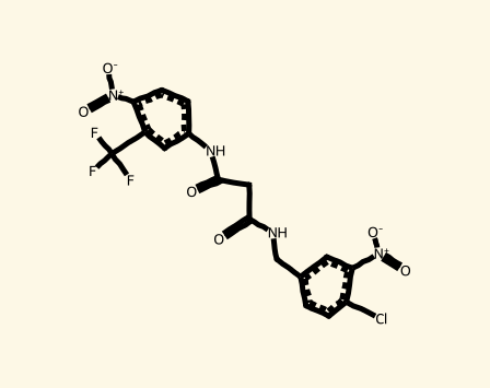 O=C(CC(=O)Nc1ccc([N+](=O)[O-])c(C(F)(F)F)c1)NCc1ccc(Cl)c([N+](=O)[O-])c1